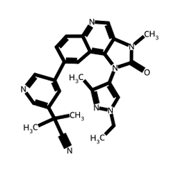 CCn1cc(-n2c(=O)n(C)c3cnc4ccc(-c5cncc(C(C)(C)C#N)c5)cc4c32)c(C)n1